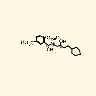 C[C@H](c1cccc(C(=O)O)c1)N(C[C@@H](O)CCC1CCCCC1)[PH](=O)O